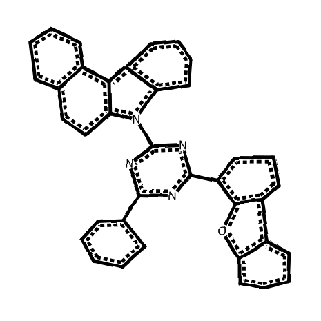 c1ccc(-c2nc(-c3cccc4c3oc3ccccc34)nc(-n3c4ccccc4c4c5ccccc5ccc43)n2)cc1